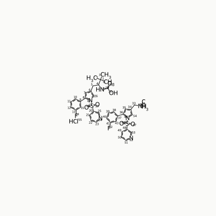 CC(C)(C)C(Cc1cc(-c2cccc(F)c2)n(S(=O)(=O)c2cccnc2)c1)NC(=O)O.CNCc1cc(-c2cccc(F)c2)n(S(=O)(=O)c2cccnc2)c1.Cl